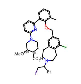 CCC(CI)N1CCc2cc(COc3c(C)cccc3-c3cccc(N4CC[C@@H](C(=O)O)[C@@H](OC)C4)n3)cc(F)c2CC1